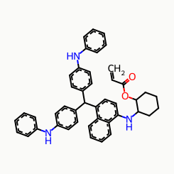 C=CC(=O)OC1CCCCC1Nc1ccc(C(c2ccc(Nc3ccccc3)cc2)c2ccc(Nc3ccccc3)cc2)c2ccccc12